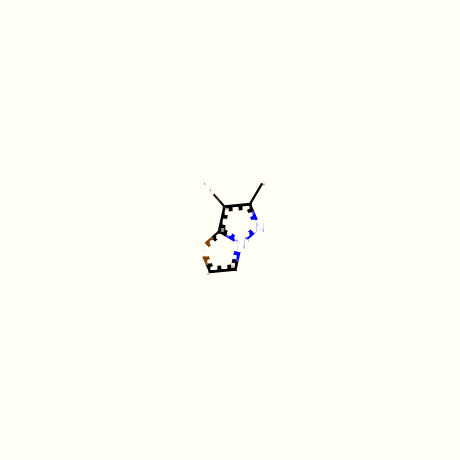 Cc1nn2ccsc2c1N=O